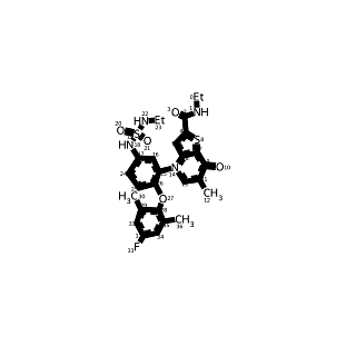 CCNC(=O)c1cc2c(s1)c(=O)c(C)cn2-c1cc(NS(=O)(=O)NCC)ccc1Oc1c(C)cc(F)cc1C